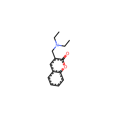 CCN(CC)Cc1cc2ccccc2oc1=O